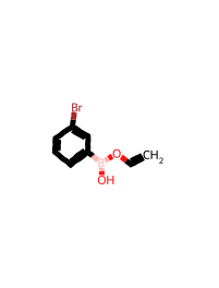 C=COB(O)c1cccc(Br)c1